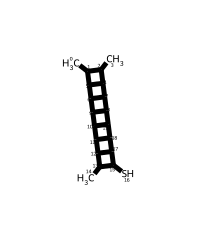 CC1C(C)C2C1C1C2C2C1C1C3C4C(C)C(S)C4C3C21